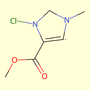 COC(=O)C1=[C]N(C)CN1Cl